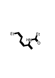 C=C(/C=C\C=C/CC)NC(=O)CC